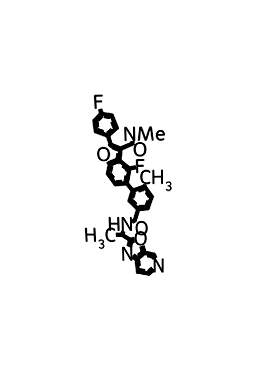 CNC(=O)c1c(-c2ccc(F)cc2)oc2ccc(-c3cc(C(=O)NC(C)c4nc5ccncc5o4)ccc3C)c(F)c12